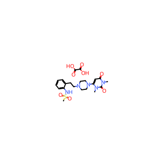 Cn1c(N2CCN(CCc3ccccc3NS(C)(=O)=O)CC2)cc(=O)n(C)c1=O.O=C(O)C(=O)O